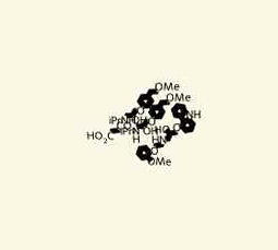 COCCc1ccc(OCC(O)CNC(C)C)cc1.COCCc1ccc(OCC(O)CNC(C)C)cc1.COc1ccccc1OCCNCC(O)COc1cccc2[nH]c3ccccc3c12.O=C(O)CCC(=O)O